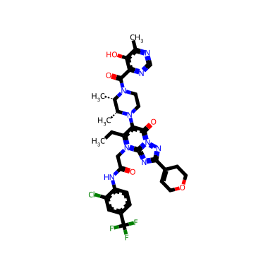 CCc1c(N2CCN(C(=O)c3ncnc(C)c3O)[C@@H](C)[C@H]2C)c(=O)n2nc(C3=CCOCC3)nc2n1CC(=O)Nc1ccc(C(F)(F)F)cc1Cl